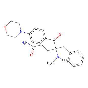 CN(C)C(CCC(N)=O)(Cc1ccccc1)C(=O)c1ccc(N2CCOCC2)cc1